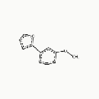 COc1[c]ccc(-c2ccco2)c1